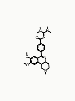 COc1cc2c(cc1OC)C1CN(C)CCC1N=C2c1ccc(C(=O)N=C(N(C)C)N(C)C)cc1